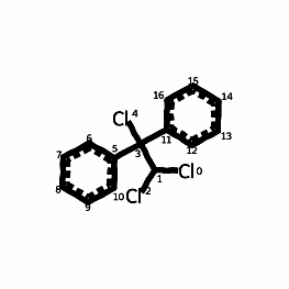 ClC(Cl)C(Cl)(c1ccccc1)c1ccccc1